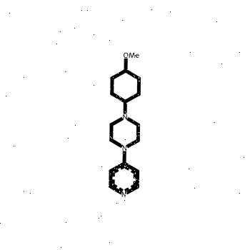 COC1CCC(N2CCN(c3ccncc3)CC2)CC1